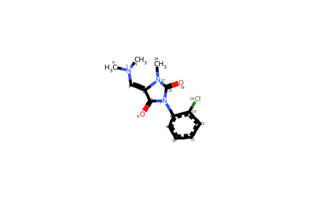 CN(C)/C=C1/C(=O)N(c2ccccc2Cl)C(=O)N1C